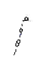 CCCCCOc1ccc2cc(OC(=O)/C=C/c3ccc(OCCOC(=O)c4cc(N)cc(N)c4)cc3)ccc2c1